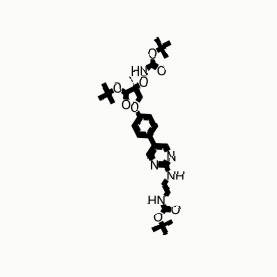 CC(C)(C)OC(=O)NCCNc1ncc(-c2ccc(OC[C@](C)(ONC(=O)OC(C)(C)C)C(=O)OC(C)(C)C)cc2)cn1